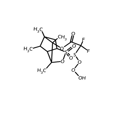 CC1C2C3CC1(C)C(C)(OC(=O)C(F)(F)SOOO)C2(C)OS3(=O)=O